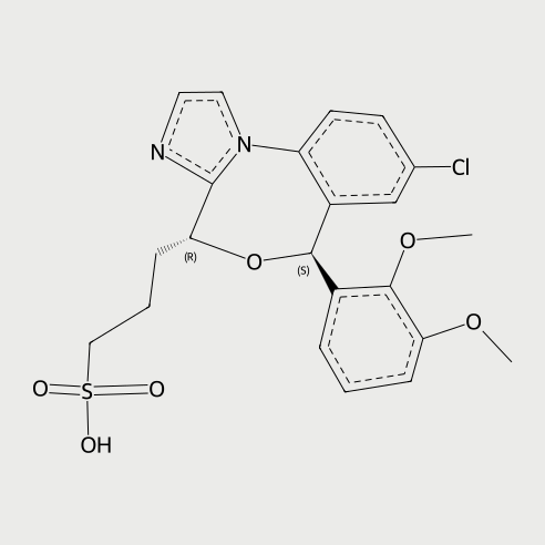 COc1cccc([C@H]2O[C@H](CCCS(=O)(=O)O)c3nccn3-c3ccc(Cl)cc32)c1OC